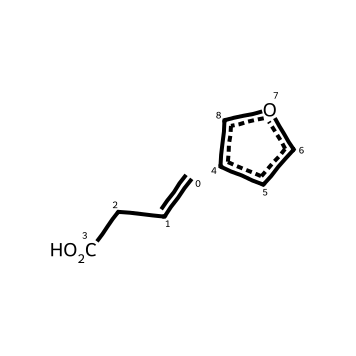 C=CCC(=O)O.c1ccoc1